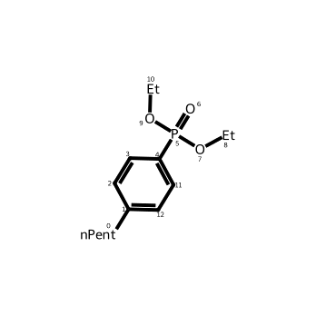 CCCCCc1ccc(P(=O)(OCC)OCC)cc1